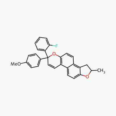 COc1ccc(C2(c3ccccc3F)C=Cc3c(ccc4c5c(ccc34)OC(C)C5)O2)cc1